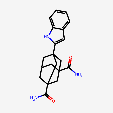 NC(=O)C12CC3CC(C(N)=O)(C1)CC(c1cc4ccccc4[nH]1)(C3)C2